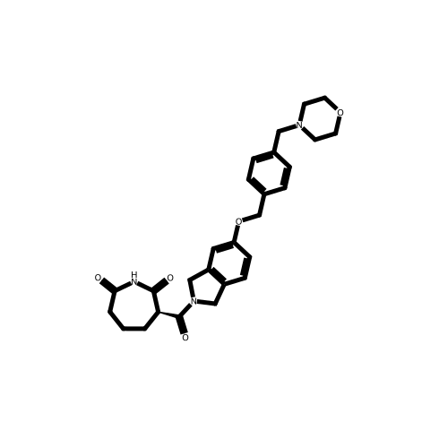 O=C1CCC[C@H](C(=O)N2Cc3ccc(OCc4ccc(CN5CCOCC5)cc4)cc3C2)C(=O)N1